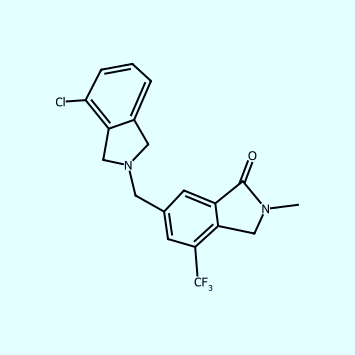 CN1Cc2c(cc(CN3Cc4cccc(Cl)c4C3)cc2C(F)(F)F)C1=O